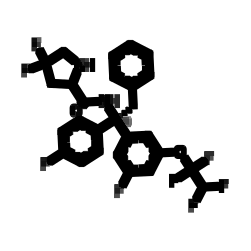 O=C(N[C@](Cc1ccccc1)(c1ccc(F)cc1)c1cc(F)cc(OC(F)(F)C(F)F)c1)C1CC(F)(F)CN1